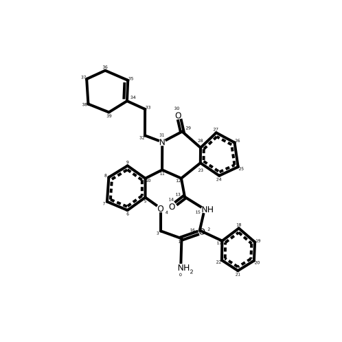 NC(=O)COc1ccccc1C1C(C(=O)NCc2ccccc2)c2ccccc2C(=O)N1CCC1=CCCCC1